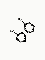 Oc1ccccc1.Oc1ccccc1.[Ti]